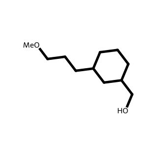 COCCCC1CCCC(CO)C1